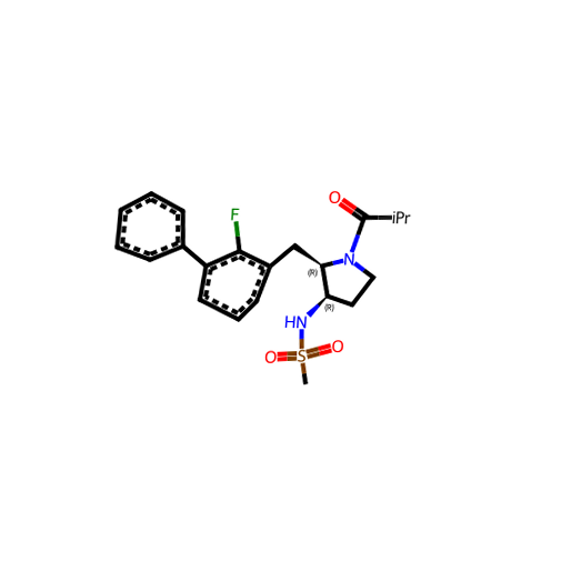 CC(C)C(=O)N1CC[C@@H](NS(C)(=O)=O)[C@H]1Cc1cccc(-c2ccccc2)c1F